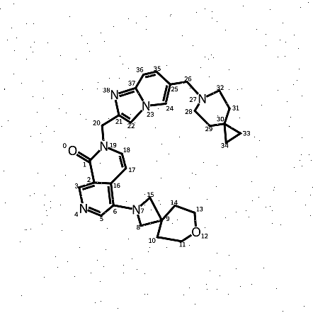 O=c1c2cncc(N3CC4(CCOCC4)C3)c2ccn1Cc1cn2cc(CN3CCC4(CC3)CC4)ccc2n1